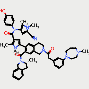 Cc1c(N(C(=O)c2cc(-c3cc4c(cc3C(=O)N3Cc5ccccc5C[C@H]3C)CN(C(=O)Cc3cccc(N5CCCN(C)CC5)c3)CC4)n(C)c2C)c2ccc(O)cc2)cc(C#N)n1C